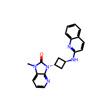 Cn1c(=O)n([C@H]2C[C@H](Nc3ccc4ccccc4n3)C2)c2ncccc21